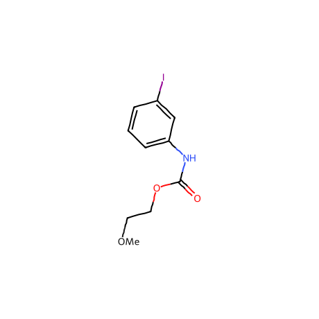 COCCOC(=O)Nc1cccc(I)c1